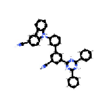 N#Cc1cc(-c2cccc(-n3c4ccccc4c4cc(C#N)ccc43)c2)cc(-c2nc(-c3ccccc3)nc(-c3ccccc3)n2)c1